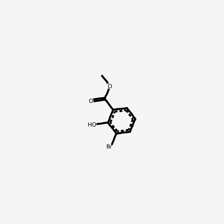 COC(=O)c1cccc(Br)c1O